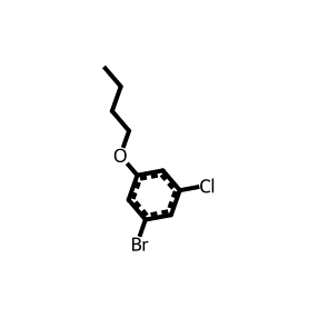 CCCCOc1cc(Cl)cc(Br)c1